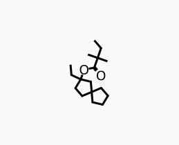 CCC1(OC(=O)C(C)(C)CC)CCC2(CCCC2)C1